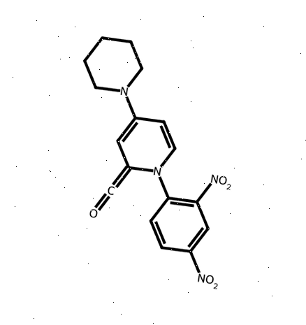 O=C=C1C=C(N2CCCCC2)C=CN1c1ccc([N+](=O)[O-])cc1[N+](=O)[O-]